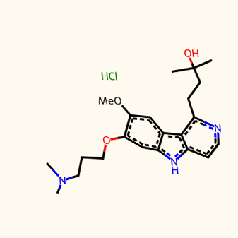 COc1cc2c(cc1OCCCN(C)C)[nH]c1ccnc(CCC(C)(C)O)c12.Cl